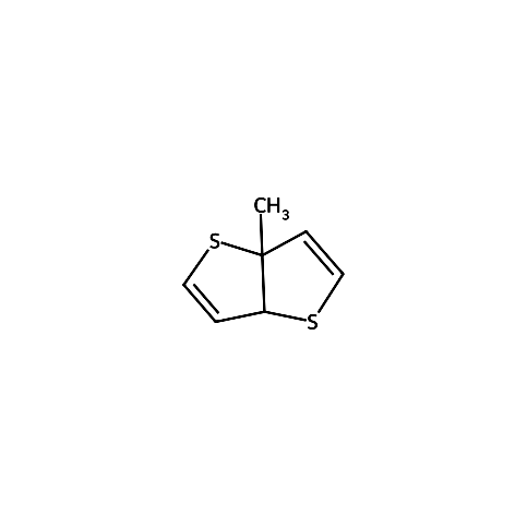 CC12C=CSC1C=CS2